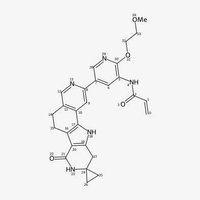 C=CC(=O)Nc1cc(-c2cc3c(cn2)CCc2c-3[nH]c3c2C(=O)NC2(CC2)C3)cnc1OCCOC